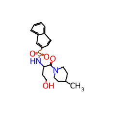 CC1CCN(C(=O)C(CCO)NS(=O)(=O)c2ccc3ccccc3c2)CC1